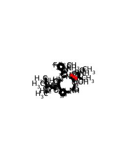 CNC[C@@H](NC(=O)[C@H](C)NC)C(=O)N[C@H]1Cc2cccc(c2)CNC(=O)CO[C@H]2CCN(C(=O)[C@H](Cc3cn(NC)c4ccc(F)cc34)NC1=O)[C@@H]2C(=O)N[C@H](C(=O)NOC)[C@@H](C)O